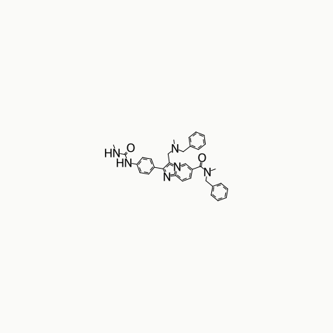 CNC(=O)Nc1ccc(-c2nc3ccc(C(=O)N(C)Cc4ccccc4)cn3c2CN(C)Cc2ccccc2)cc1